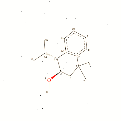 CO[C@@H]1CC(C)(C)c2ccccc2[C@H]1C(C)C